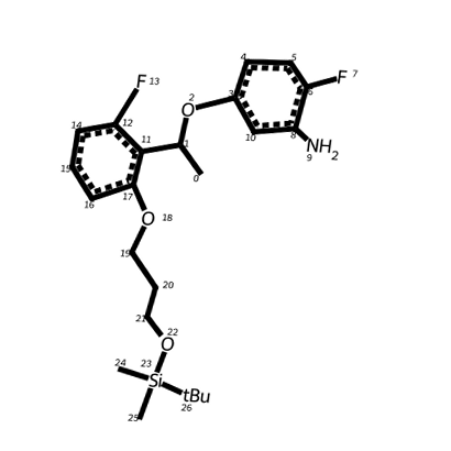 CC(Oc1ccc(F)c(N)c1)c1c(F)cccc1OCCCO[Si](C)(C)C(C)(C)C